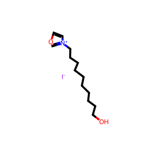 OCCCCCCCCCC[n+]1ccoc1.[I-]